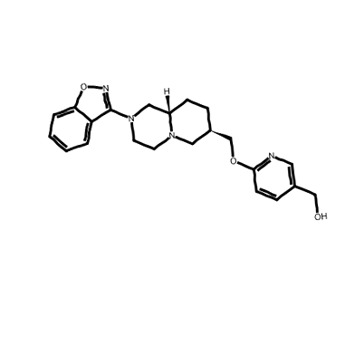 OCc1ccc(OC[C@@H]2CC[C@H]3CN(c4noc5ccccc45)CCN3C2)nc1